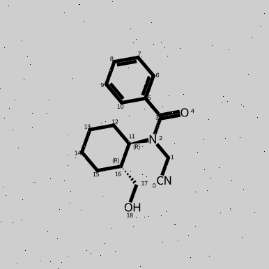 N#CCN(C(=O)c1ccccc1)[C@@H]1CCCC[C@H]1CO